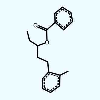 CCC(CCc1ccccc1C)OC(=O)c1ccccc1